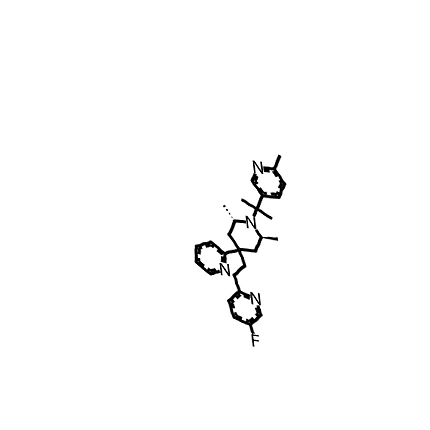 Cc1ccc(C(C)(C)N2[C@@H](C)CC(CCc3ccc(F)cn3)(c3ccccn3)C[C@@H]2C)cn1